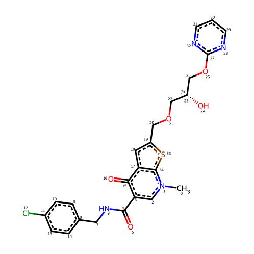 Cn1cc(C(=O)NCc2ccc(Cl)cc2)c(=O)c2cc(COC[C@@H](O)COc3ncccn3)sc21